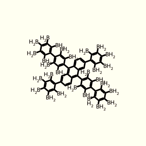 Bc1c(B)c(B)c(-c2ccc3c(-c4c(B)c(B)c(-c5c(B)c(B)c(B)c(B)c5B)c(B)c4B)c4cc(-c5c(B)c(B)c(B)c(B)c5B)ccc4c(-c4c(B)c(B)c(-c5c(B)c(B)c(B)c(B)c5B)c(B)c4B)c3c2)c(B)c1B